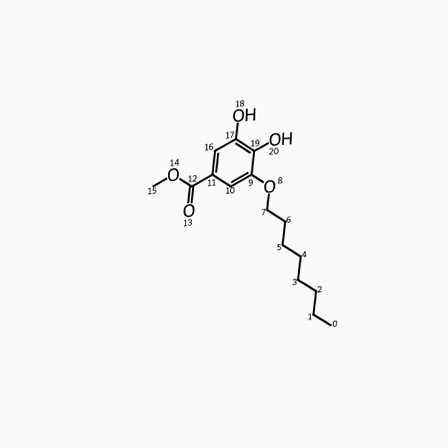 CCCCCCCCOc1cc(C(=O)OC)cc(O)c1O